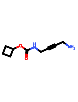 NCC#CCNC(=O)OC1CCC1